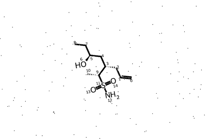 C=CC[C@@H](C[C@@H](O)CC)[C@@H](C)S(N)(=O)=O